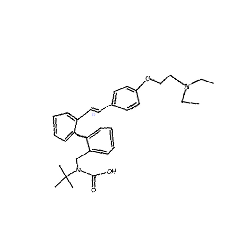 CCN(CC)CCOc1ccc(/C=C/c2ccccc2-c2ccccc2CN(C(=O)O)C(C)(C)C)cc1